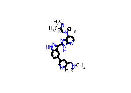 C=N/C(C)=C\N(C)c1ccnc2[nH]c(-c3n[nH]c4ccc(-c5cncc(CN(C)C)c5)cc34)nc12